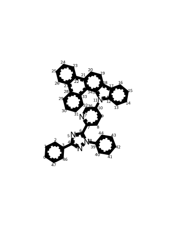 c1ccc(-c2nc(-c3ccc(-n4c5ccccc5c5ccc6c7ccccc7c7ccccc7c6c54)cn3)n(-c3ccccc3)n2)cc1